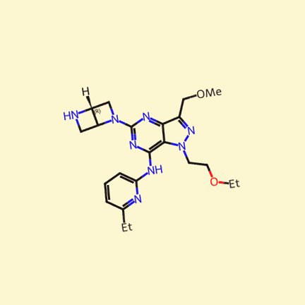 CCOCCn1nc(COC)c2nc(N3C[C@H]4NCC43)nc(Nc3cccc(CC)n3)c21